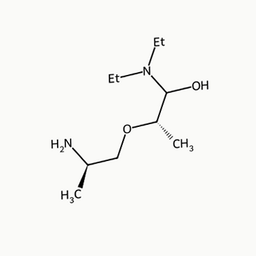 CCN(CC)C(O)[C@H](C)OC[C@@H](C)N